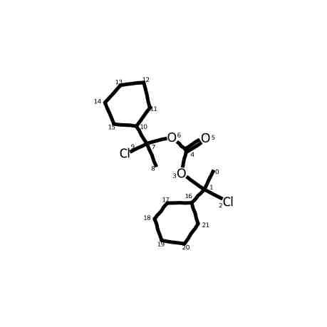 CC(Cl)(OC(=O)OC(C)(Cl)C1CCCCC1)C1CCCCC1